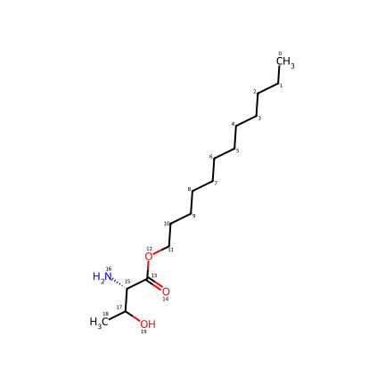 CCCCCCCCCCCCOC(=O)[C@@H](N)C(C)O